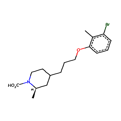 Cc1c(Br)cccc1OCCCC1CCN(C(=O)O)[C@H](C)C1